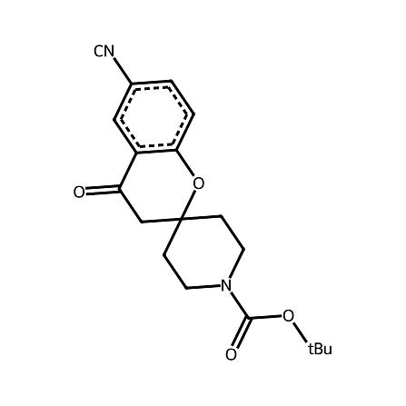 [C-]#[N+]c1ccc2c(c1)C(=O)CC1(CCN(C(=O)OC(C)(C)C)CC1)O2